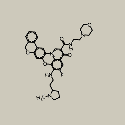 CN1CCCC1CCNc1c(F)cc2c(=O)c(C(=O)NCCN3CCOCC3)cn3c2c1Oc1cc2c(cc1-3)-c1ccccc1CO2